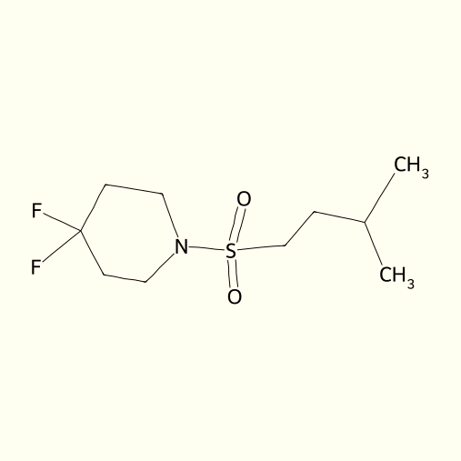 CC(C)CCS(=O)(=O)N1CCC(F)(F)CC1